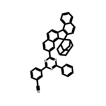 N#Cc1cccc(-c2nc(-c3ccccc3)nc(-c3ccc4ccc5c(c4c3)C3(c4ccc6ccccc6c4-5)C4CC5CC(C4)CC3C5)n2)c1